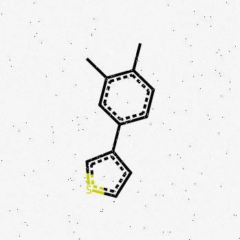 Cc1ccc(-c2ccsc2)cc1C